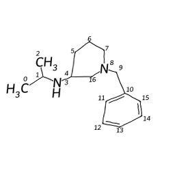 CC(C)NC1CCCN(Cc2ccccc2)C1